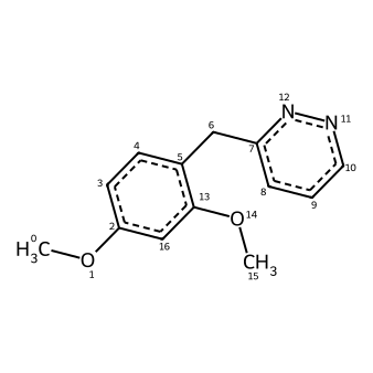 COc1ccc(Cc2cccnn2)c(OC)c1